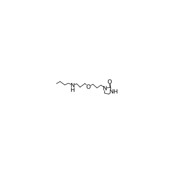 CCCCNCCCOCCCN1CCNC1=O